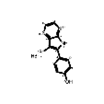 Br.CCCc1c(-c2ccc(O)cc2)[nH]c2nccnc12